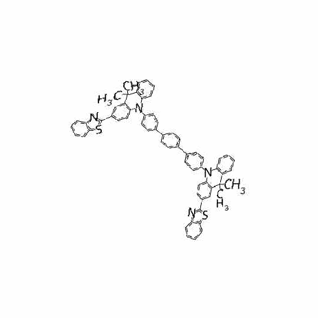 CC1(C)c2ccccc2N(c2ccc(-c3ccc(-c4ccc(N5c6ccccc6C(C)(C)c6cc(-c7nc8ccccc8s7)ccc65)cc4)cc3)cc2)c2ccc(-c3nc4ccccc4s3)cc21